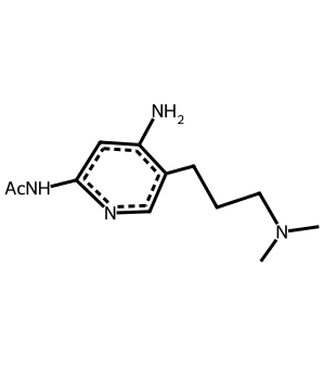 CC(=O)Nc1cc(N)c(CCCN(C)C)cn1